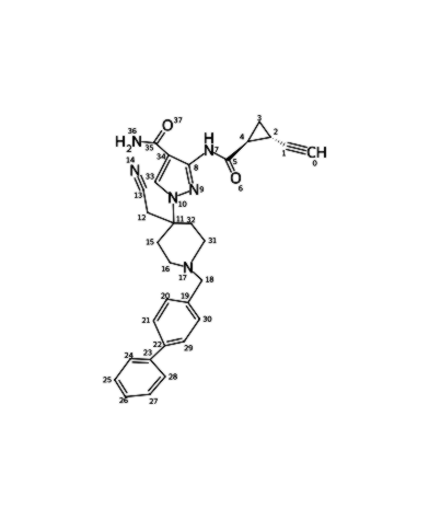 C#C[C@H]1C[C@@H]1C(=O)Nc1nn(C2(CC#N)CCN(Cc3ccc(-c4ccccc4)cc3)CC2)cc1C(N)=O